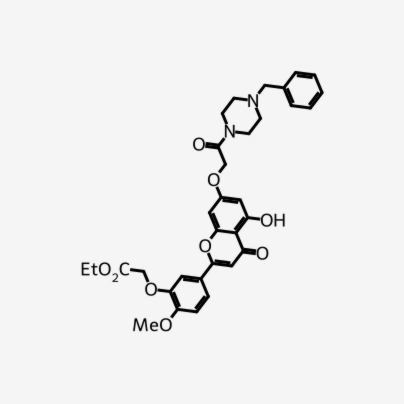 CCOC(=O)COc1cc(-c2cc(=O)c3c(O)cc(OCC(=O)N4CCN(Cc5ccccc5)CC4)cc3o2)ccc1OC